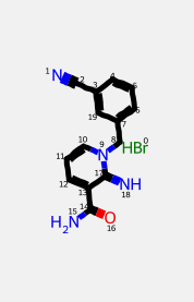 Br.N#Cc1cccc(Cn2cccc(C(N)=O)c2=N)c1